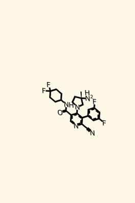 C[C@]1(N)CCN(c2c(C(=O)NC3CCC(F)(F)CC3)cnc(C#N)c2-c2cc(F)cc(F)c2)C1